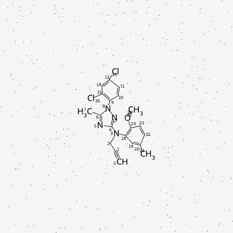 C#CCN(c1nc(C)n(-c2ccc(Cl)cc2Cl)n1)c1cc(C)ccc1OC